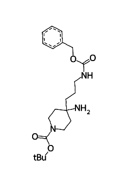 CC(C)(C)OC(=O)N1CCC(N)(CCCNC(=O)OCc2ccccc2)CC1